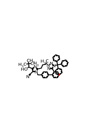 CCCCc1nc(C(O)C(C)(C)C)c(C#N)n1Cc1ccc(-c2ccccc2-c2nnnn2C(c2ccccc2)(c2ccccc2)c2ccccc2)cc1